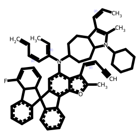 C#C/C=C\c1c(C)oc2c3c(cc(N(C(/C=C\C=C)=C/C)C4CCC5C(/C=C\C)=C(C)N(C6CCCCC6)C5CC4)c12)C1(c2ccccc2-3)c2ccccc2C2C(F)=CC=CC21